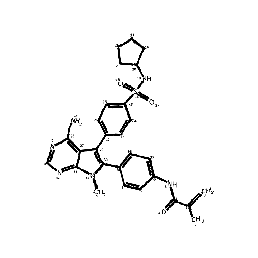 C=C(C)C(=O)Nc1ccc(-c2c(-c3ccc(S(=O)(=O)NC4CCCC4)cc3)c3c(N)ncnc3n2C)cc1